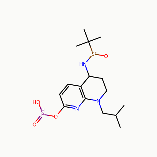 CC(C)CN1CCC(N[S+]([O-])C(C)(C)C)c2ccc(O[PH](=O)O)nc21